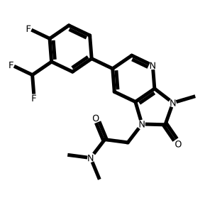 CN(C)C(=O)Cn1c(=O)n(C)c2ncc(-c3ccc(F)c(C(F)F)c3)cc21